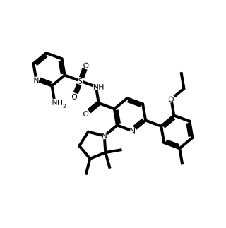 CCOc1ccc(C)cc1-c1ccc(C(=O)NS(=O)(=O)c2cccnc2N)c(N2CCC(C)C2(C)C)n1